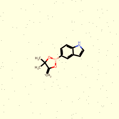 C=C1OB(c2ccc3[nH]ccc3c2)OC1(C)C